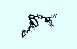 CC(C)Oc1ccc(-c2nc(-c3cccc4c3CCC4CNCC(=O)N3CCCC3)no2)cc1C#N